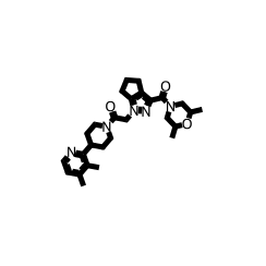 Cc1ccnc(C2CCN(C(=O)Cn3nc(C(=O)N4CC(C)OC(C)C4)c4c3CCC4)CC2)c1C